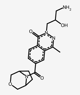 Cc1nn(CC(O)CN)c(=O)c2ccc(C(=O)N3C4CCC3COC4)cc12